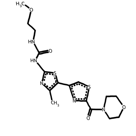 COCCNC(=O)Nc1nc(C)c(-c2csc(C(=O)N3CCOCC3)n2)s1